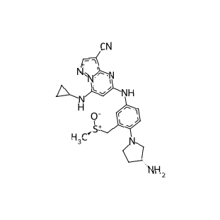 C[S@@+]([O-])Cc1cc(Nc2cc(NC3CC3)n3ncc(C#N)c3n2)ccc1N1CC[C@@H](N)C1